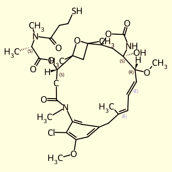 COc1cc2cc(c1Cl)N(C)C(=O)C[C@H](OC(=O)[C@H](C)N(C)C(=O)CCS)C1(C)CC(C)(O1)C1C[C@@](O)(NC(=O)O1)[C@H](OC)/C=C/C=C(\C)C2